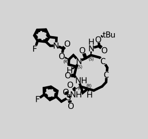 CC(C)(C)OC(=O)N[C@H]1CCCCCCC[C@@H]2C[C@@]2(C(=O)NS(=O)(=O)Cc2cccc(F)c2)NC(=O)[C@@H]2C[C@@H](OC(=O)N3Cc4cccc(F)c4C3)CN2C1=O